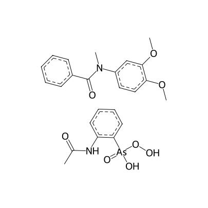 CC(=O)Nc1ccccc1[As](=O)(O)OO.COc1ccc(N(C)C(=O)c2ccccc2)cc1OC